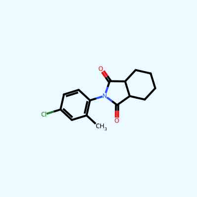 Cc1cc(Cl)ccc1N1C(=O)C2CCCCC2C1=O